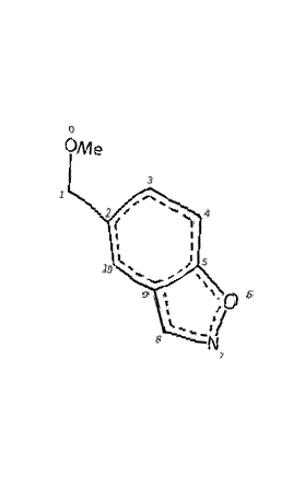 COCc1ccc2oncc2c1